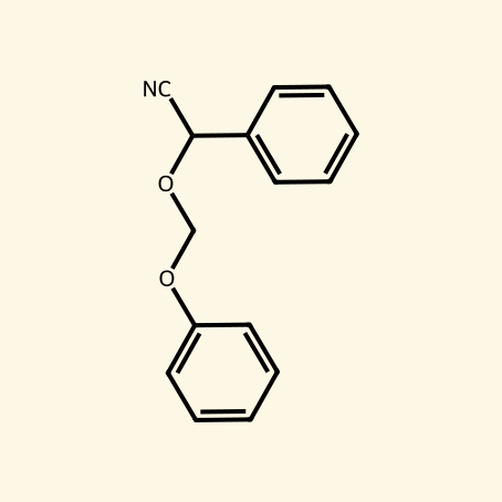 N#CC(OCOc1ccccc1)c1ccccc1